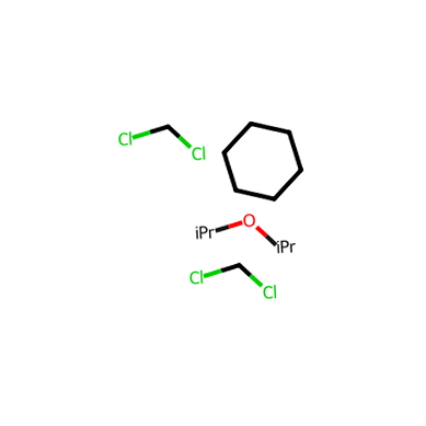 C1CCCCC1.CC(C)OC(C)C.ClCCl.ClCCl